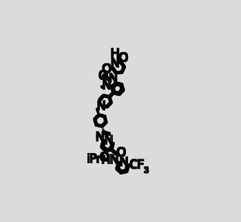 CC(C)Oc1cc2nc([C@H]3CC[C@H](CN4CCC(c5cccc6c5n(C)c(=O)n6C5CCC(=O)NC5=O)CC4)CC3)cn2cc1C(=O)Nc1cccc(C(F)(F)F)n1